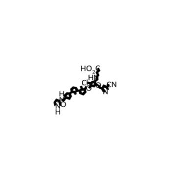 Cc1c(COc2cc(OCc3cncc(C#N)c3)c(CNCCCC(=O)O)cc2Cl)cccc1-c1cccc(-c2ccc(CN[C@H]3CCCNC3=O)cc2)c1C